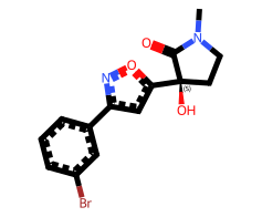 CN1CC[C@](O)(c2cc(-c3cccc(Br)c3)no2)C1=O